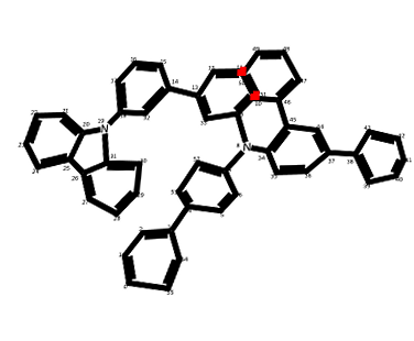 c1ccc(-c2ccc(N(c3cccc(-c4cccc(-n5c6ccccc6c6ccccc65)c4)c3)c3ccc(-c4ccccc4)cc3-c3ccccc3)cc2)cc1